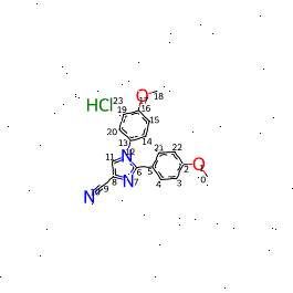 COc1ccc(-c2nc(C#N)cn2-c2ccc(OC)cc2)cc1.Cl